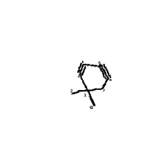 CC1(C)C#CC#CC1